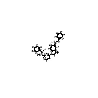 C[C@H](Nc1nccc(-n2cnc3cc(NCc4ccccc4)ccc32)n1)c1ccccc1